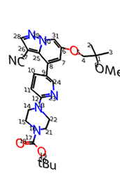 COC(C)(C)COc1cc(-c2ccc(N3CCN(C(=O)OC(C)(C)C)CC3)nc2)c2c(C#N)cnn2c1